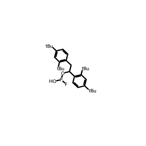 CC(C)(C)c1ccc(CC(OP(O)F)c2ccc(C(C)(C)C)cc2C(C)(C)C)c(C(C)(C)C)c1